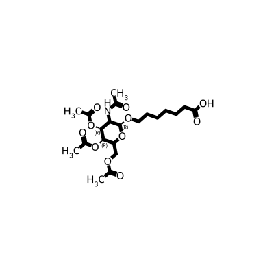 CC(=O)NC1[C@H](OCCCCCCC(=O)O)OC(COC(C)=O)[C@H](OC(C)=O)[C@@H]1OC(C)=O